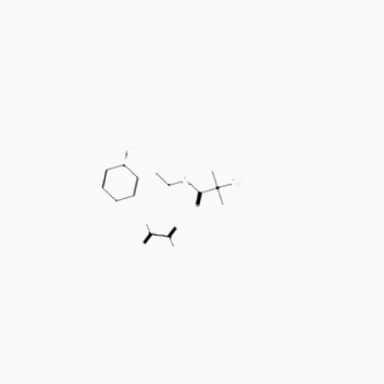 CC(C)(N)C(=O)NCC[C@@H]1CCCC[C@H]1O.O=C(O)C(=O)O